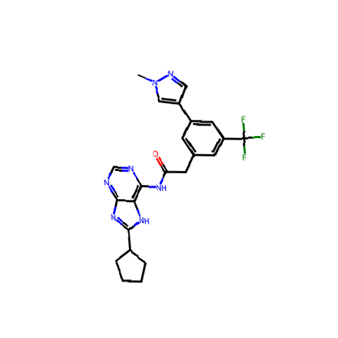 Cn1cc(-c2cc(CC(=O)Nc3ncnc4nc(C5CCCC5)[nH]c34)cc(C(F)(F)F)c2)cn1